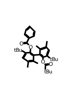 Cc1cc(C(C)(C)C)c(OC(=O)c2ccccc2)c(-c2c(C)c(C)cc(C(C)(C)C)c2OC(=O)C(C)(C)C)c1C